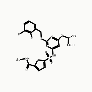 CCC[C@@H](Oc1cc(NS(=O)(=O)c2ccc(C(=O)NC(C)(C)C)o2)nc(SCc2cccc(F)c2F)n1)C(=O)O